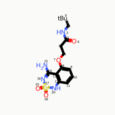 CC(C)(C)CNC(=O)CCOc1cccc2c1C(N)=NS(=O)(=O)N2